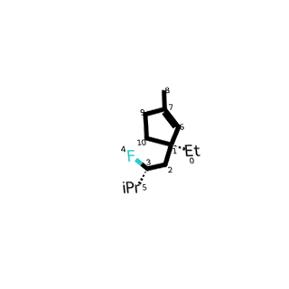 CC[C@@]1(C[C@@H](F)C(C)C)C=C(C)CC1